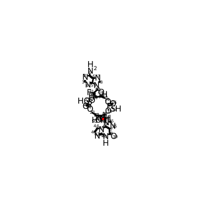 Nc1ncnc2c1ncn2[C@@H]1O[C@@H]2COP(=O)(S)O[C@@H]3[C@H](O)[C@@H](COP(=O)(O)O[C@H]2[C@H]1F)O[C@H]3n1cnc2c(=O)[nH]c3nccn3c21